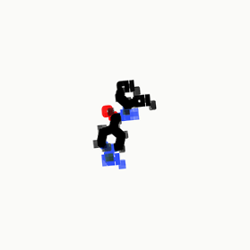 CCC(C)NC(=O)C1CCN(N)CC1